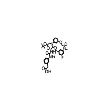 CN(C(=O)COc1cccc(N(CC(=O)OC(C)(C)C)C(=O)CNC(=O)Nc2cccc(CC(=O)O)c2)c1)c1cc(F)cc(F)c1